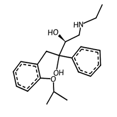 CCNC[C@H](O)C(O)(Cc1ccccc1OC(C)C)c1ccccc1